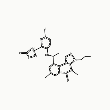 CCCn1ncc2c3c(C(C)Nc4ccc(Cl)nc4-c4noc(=O)[nH]4)cc(C)cc3c(=O)n(C)c21